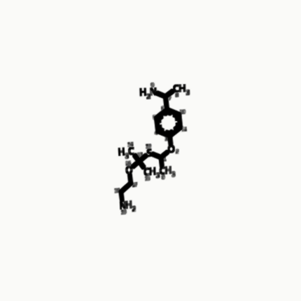 CC(Oc1ccc(C(C)N)cc1)SC(C)(C)OCCN